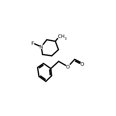 CC1CCCN(F)C1.O=COCc1ccccc1